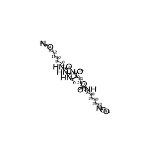 Cc1[nH]c(NC(=O)NCCCCCCOC#N)nc(=O)c1CCOC(=O)NCCCCCCN=C=O